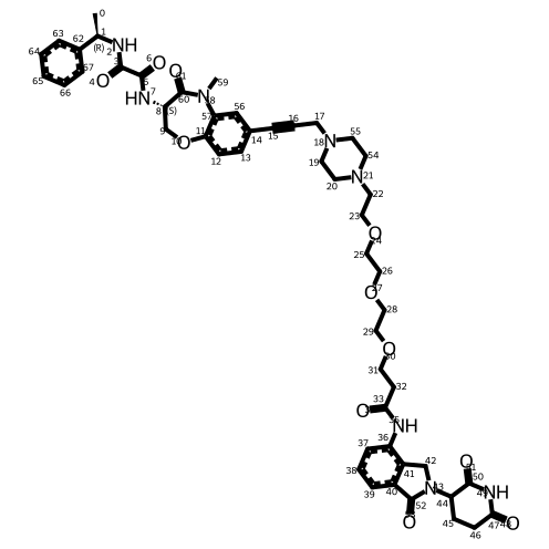 C[C@@H](NC(=O)C(=O)N[C@H]1COc2ccc(C#CCN3CCN(CCOCCOCCOCCC(=O)Nc4cccc5c4CN(C4CCC(=O)NC4=O)C5=O)CC3)cc2N(C)C1=O)c1ccccc1